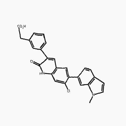 Cn1ccc2ccc(-c3cc4cc(-c5cccc(CC(=O)O)c5)c(=O)[nH]c4cc3Cl)cc21